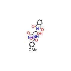 COc1ccc(S(=O)(=O)NC(CC(O)N2C(=O)c3ccccc3C2=O)C(N)=O)cc1